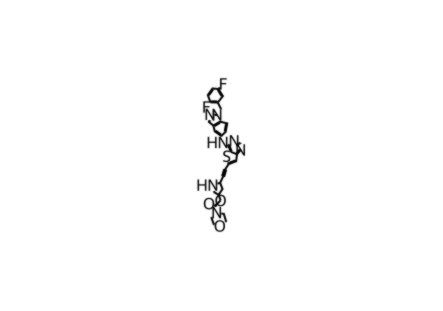 O=C(OC1CNC(C#Cc2cc3ncnc(Nc4ccc5c(cnn5Cc5cc(F)ccc5F)c4)c3s2)C1)N1CCOCC1